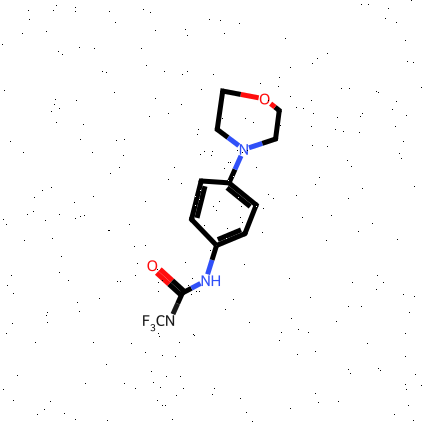 O=C(Nc1ccc(N2CCOCC2)cc1)NC(F)(F)F